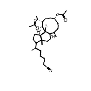 CC[C@@H]1CC[C@H](OC(C)=O)CCC(C)[C@H]2CCC3(C)C([C@H](C)CCCCC#N)CC[C@H]3[C@@H]2[C@@H]1OC(C)=O